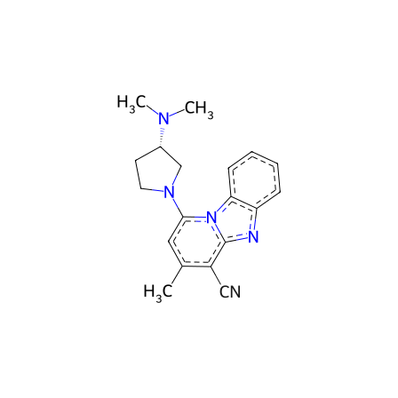 Cc1cc(N2CC[C@H](N(C)C)C2)n2c(nc3ccccc32)c1C#N